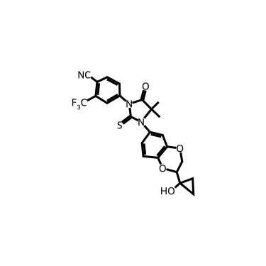 CC1(C)C(=O)N(c2ccc(C#N)c(C(F)(F)F)c2)C(=S)N1c1ccc2c(c1)OCC(C1(O)CC1)O2